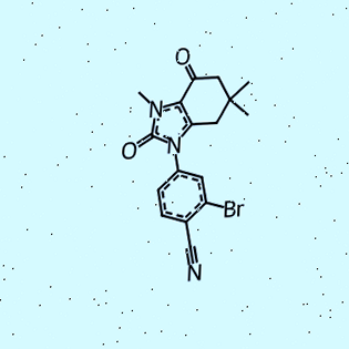 Cn1c2c(n(-c3ccc(C#N)c(Br)c3)c1=O)CC(C)(C)CC2=O